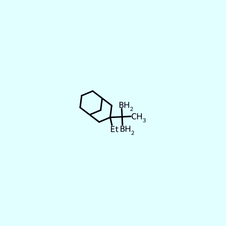 BC(B)(C)C1(CC)CC2CCCC(C2)C1